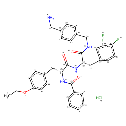 CCOc1ccc(C[C@@H](NC(=O)c2ccccc2)C(=O)N[C@@H](Cc2ccc(F)c(F)c2)C(=O)NCc2ccc(CN)cc2)cc1.Cl